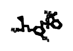 Cc1cc(OCC(ON)C2CC2)cc(OS(=O)(=O)c2ccccc2S(C)(=O)=O)c1